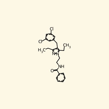 CCc1nn(CCNC(=O)c2ccccc2)c(CC)c1Cc1cc(Cl)cc(Cl)c1